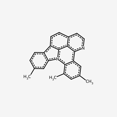 Cc1cc(C)c2c(c1)c1nccc3ccc4c5ccc(C)cc5n2c4c31